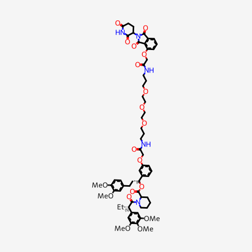 CC[C@H](C(=O)N1CCCCC1C(=O)O[C@H](CCc1ccc(OC)c(OC)c1)c1cccc(OCC(=O)NCCCOCCOCCOCCCNC(=O)COc2cccc3c2C(=O)N(C2CCC(=O)NC2=O)C3=O)c1)c1cc(OC)c(OC)c(OC)c1